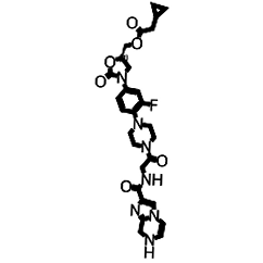 O=C(CC1CC1)OC[C@H]1CN(c2ccc(N3CCN(C(=O)CNC(=O)c4cn5c(n4)CNC=C5)CC3)c(F)c2)C(=O)O1